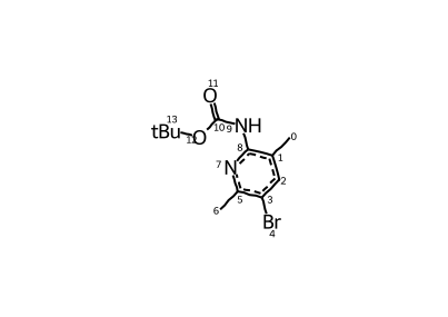 Cc1cc(Br)c(C)nc1NC(=O)OC(C)(C)C